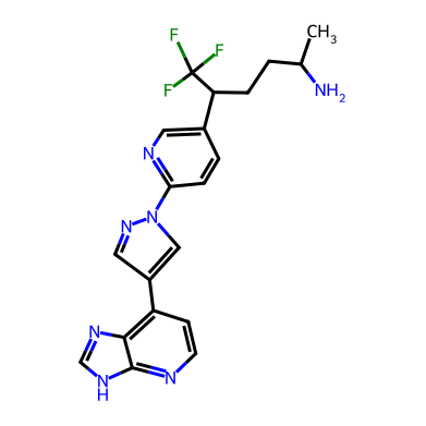 CC(N)CCC(c1ccc(-n2cc(-c3ccnc4[nH]cnc34)cn2)nc1)C(F)(F)F